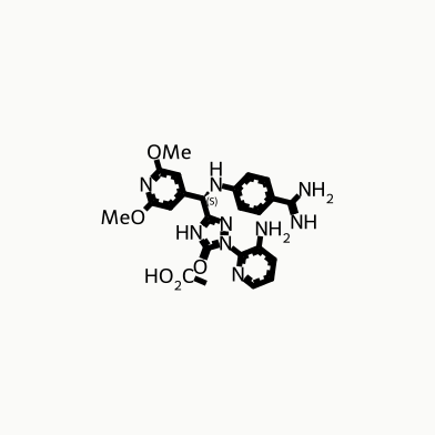 CC(=O)O.COc1cc([C@H](Nc2ccc(C(=N)N)cc2)c2nn(-c3ncccc3N)c(=O)[nH]2)cc(OC)n1